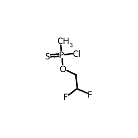 CP(=S)(Cl)OCC(F)F